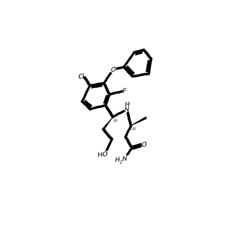 C[C@@H](CC(N)=O)N[C@@H](CCO)c1ccc(Cl)c(Oc2ccccc2)c1F